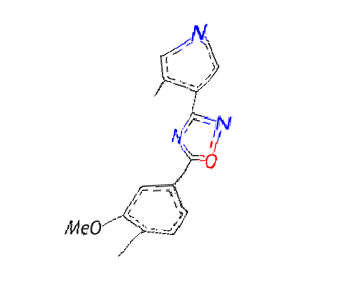 COc1cc(-c2nc(-c3ccncc3C)no2)ccc1C